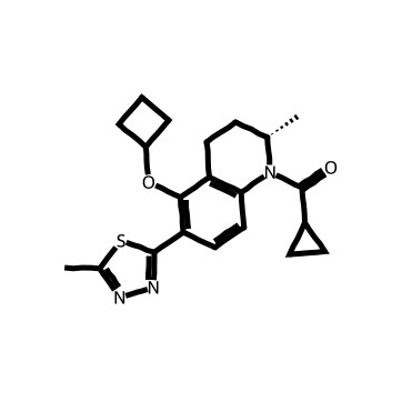 Cc1nnc(-c2ccc3c(c2OC2CCC2)CC[C@H](C)N3C(=O)C2CC2)s1